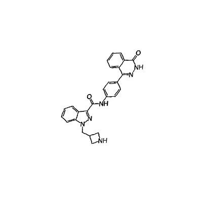 O=C(Nc1ccc(-c2n[nH]c(=O)c3ccccc23)cc1)c1nn(CC2CNC2)c2ccccc12